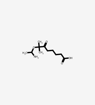 CC(N)OC(C)(C)C(=O)CCCCC(=O)O